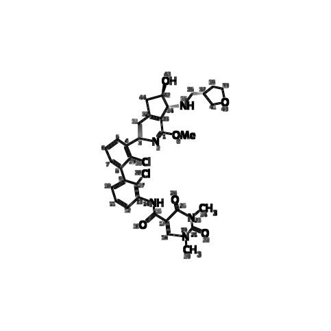 COc1nc(-c2cccc(-c3cccc(NC(=O)c4cn(C)c(=O)n(C)c4=O)c3Cl)c2Cl)cc2c1[C@@H](NC[C@@H]1CCOC1)[C@H](O)C2